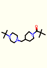 CC(C)(C)C(=O)N1CCC(CN2CCN(C(C)(C)C)CC2)CC1